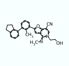 C/N=c1\c2cc(-c3cccc(-c4cccc5c4CCC5)c3C)oc2c(C#N)cn1CCO